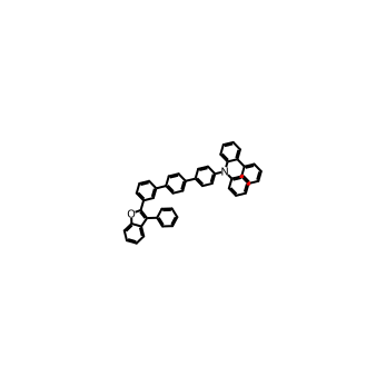 c1ccc(-c2ccccc2N(c2ccccc2)c2ccc(-c3ccc(-c4cccc(-c5oc6ccccc6c5-c5ccccc5)c4)cc3)cc2)cc1